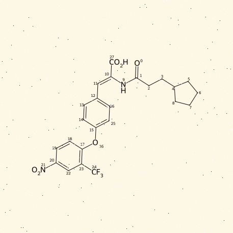 O=C(CCC1CCCC1)NC(=Cc1ccc(Oc2ccc([N+](=O)[O-])cc2C(F)(F)F)cc1)C(=O)O